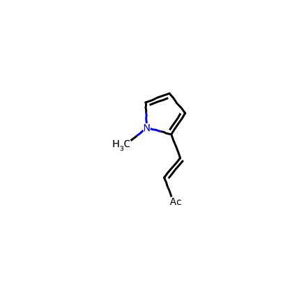 CC(=O)C=Cc1cccn1C